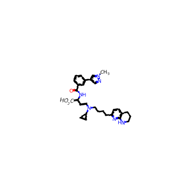 Cn1cc(-c2cccc(C(=O)NC(CCN(CCCCc3ccc4c(n3)NCCC4)C3CC3)C(=O)O)c2)cn1